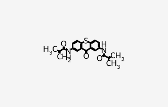 C=C(C)C(=O)Nc1ccc2sc3ccc(NC(=O)C(=C)C)cc3c(=O)c2c1